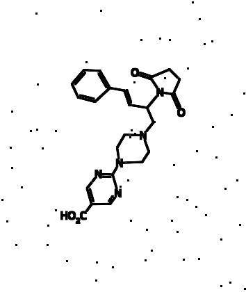 O=C(O)c1cnc(N2CCN(CC(/C=C/c3ccccc3)N3C(=O)CCC3=O)CC2)nc1